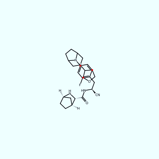 N#C[C@H](Cc1ccc(N2C3CCC2CN(C2CCOC2)C3)cc1F)NC(=O)[C@H]1N[C@@H]2CC[C@H]1C2